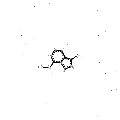 CNc1ncnc2c(C)nnn12